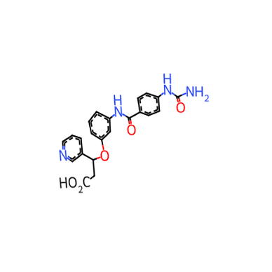 NC(=O)Nc1ccc(C(=O)Nc2cccc(OC(CC(=O)O)c3cccnc3)c2)cc1